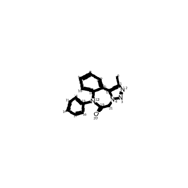 Cc1nnn2c1-c1ccccc1N(c1ccccc1)C(=O)C2